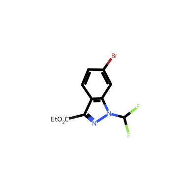 CCOC(=O)c1nn(C(F)F)c2cc(Br)ccc12